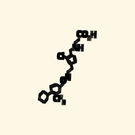 O=C(O)CCNCc1ccc(CC=NOCc2ccc(C3CCCCC3)c(C(F)(F)F)c2)cc1Cl